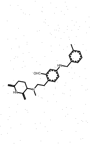 C=C1CCC(N(C)CCc2ccc(NCc3cccc(C)c3)cc2C=O)C(=C)N1